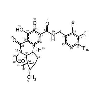 C[C@H]1C2C[C@@H]3n4cc(C(=O)NCc5ccc(F)c(Cl)c5F)c(=O)c(O)c4C(=O)N4CCCO[C@@]34[C@H]21